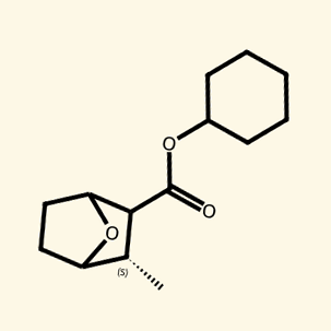 C[C@@H]1C2CCC(O2)C1C(=O)OC1CCCCC1